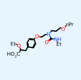 CCCOCCCN(CCOc1ccc(CC(OCC)C(=O)O)cc1)C(=O)NCC